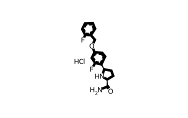 Cl.NC(=O)[C@@H]1CC[C@H](c2ccc(OCc3ccccc3F)cc2F)N1